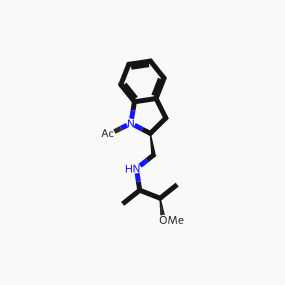 CO[C@H](C)C(C)NC[C@@H]1Cc2ccccc2N1C(C)=O